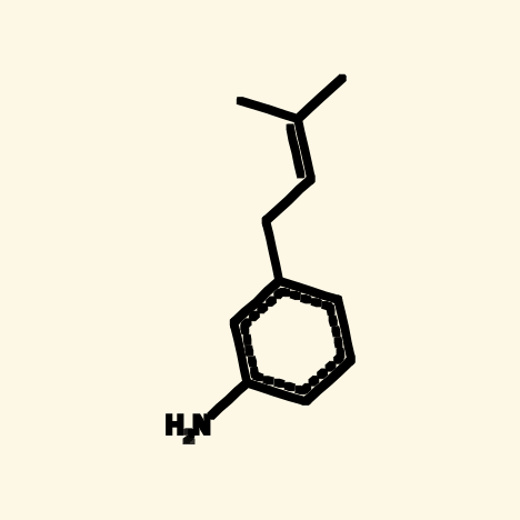 CC(C)=CCc1cccc(N)c1